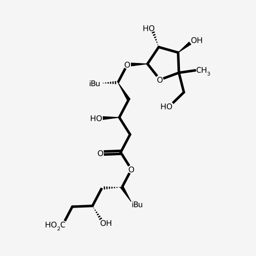 CC[C@H](C)[C@H](C[C@H](O)CC(=O)O)OC(=O)C[C@@H](O)C[C@H](O[C@@H]1OC(C)(CO)[C@H](O)[C@H]1O)[C@@H](C)CC